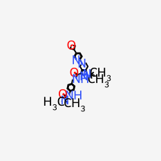 CC(C)n1nc(C(=O)NCc2ccc(NC(=O)N(C)C)cc2)c2c1CCN(c1ccc(C3COC3)cn1)C2